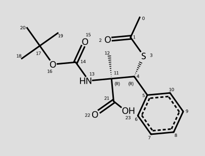 CC(=O)S[C@H](c1ccccc1)[C@](C)(NC(=O)OC(C)(C)C)C(=O)O